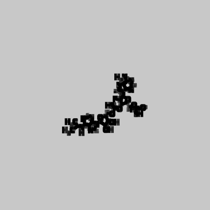 CC(C)Nc1ncnc2c1ncn2[C@@H]1O[C@H](COP(S)O[C@H]2[C@@H](F)[C@H](n3cnc4c(N)ncnc43)O[C@@H]2CO[PH](=O)S)[C@@H](O)[C@H]1O